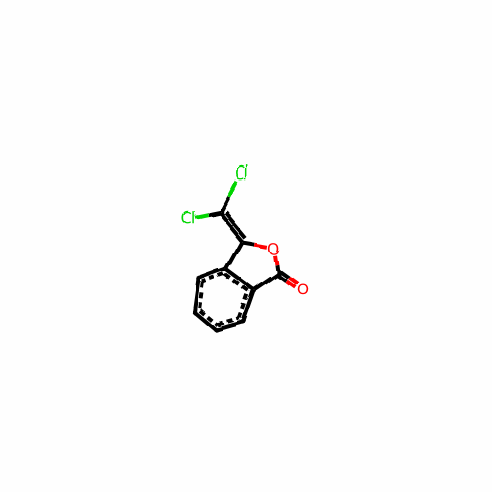 O=C1OC(=C(Cl)Cl)c2ccccc21